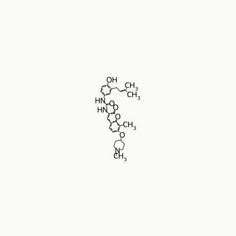 CC(C)=CCc1cc(NC(=O)Nc2cc3ccc(OC4CCN(C)CC4)c(C)c3oc2=O)ccc1O